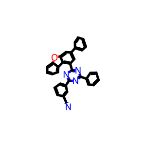 N#Cc1cccc(-c2nc(-c3ccccc3)nc(-c3cc(-c4ccccc4)cc4oc5ccccc5c34)n2)c1